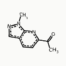 CC(=O)c1ccc2cnn(C)c2n1